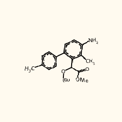 COC(=O)C(OC(C)(C)C)c1c(-c2ccc(C)cc2)ccc(N)c1C